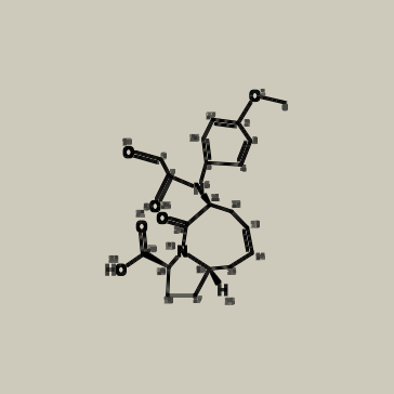 COc1ccc(N(C(=O)C=O)[C@H]2CC=CC[C@@H]3CC[C@@H](C(=O)O)N3C2=O)cc1